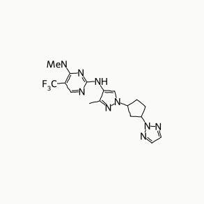 CNc1nc(Nc2cn(C3CCC(n4nccn4)C3)nc2C)ncc1C(F)(F)F